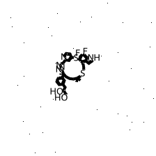 Cn1nc2nc1-c1cc(ccn1)Sc1c(F)c(F)c3[nH]ccc3c1CCSCC(C)(C)CCC[C@]2(C)c1cccc(CC(O)CO)c1